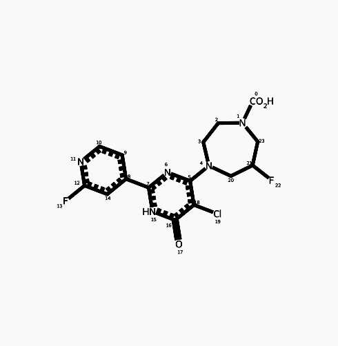 O=C(O)N1CCN(c2nc(-c3ccnc(F)c3)[nH]c(=O)c2Cl)CC(F)C1